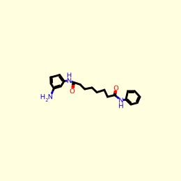 Nc1cccc(NC(=O)CCCCCCC(=O)Nc2ccccc2)c1